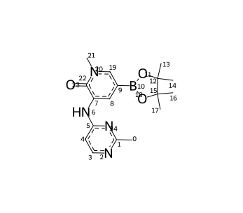 Cc1nccc(Nc2cc(B3OC(C)(C)C(C)(C)O3)cn(C)c2=O)n1